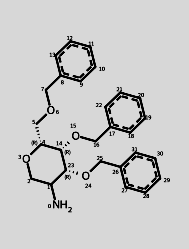 NC1CO[C@H](COCc2ccccc2)[C@H](OCc2ccccc2)[C@@H]1OCc1ccccc1